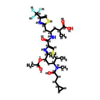 CC(=O)OC(CC(C(C)C)N(C)C(=O)CCC1CC1)c1nc(C(=O)N[C@@H](Cc2nc(C(F)(F)F)cs2)C[C@H](C)C(=O)O)cs1